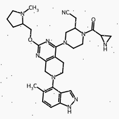 Cc1ccc2[nH]ncc2c1N1CCc2c(nc(OCC3CCCN3C)nc2N2CCN(C(=O)C3CN3)C(CC#N)C2)C1